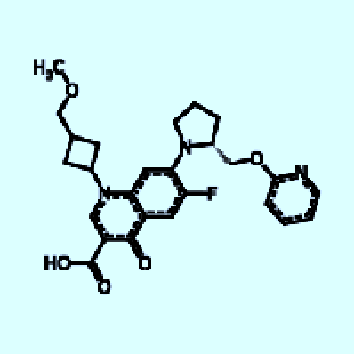 COCC1CC(n2cc(C(=O)O)c(=O)c3cc(F)c(N4CCC[C@@H]4COc4ccccn4)cc32)C1